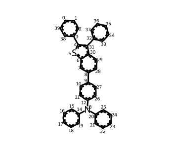 c1ccc(-c2sc3cc(-c4ccc(N(c5ccccc5)c5ccccc5)cc4)ccc3c2-c2ccccc2)cc1